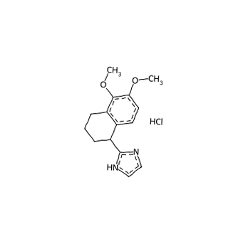 COc1ccc2c(c1OC)CCCC2c1ncc[nH]1.Cl